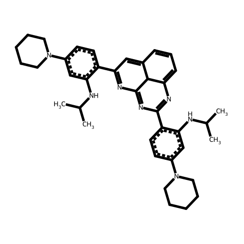 CC(C)Nc1cc(N2CCCCC2)ccc1C1=NC2=NC(c3ccc(N4CCCCC4)cc3NC(C)C)=NC3=CC=CC(=C1)C32